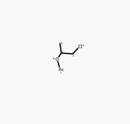 [CH2]C(CCl)OC(C)=O